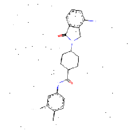 COc1cc(NC(=O)C2CCC(N3Cc4c(N)cccc4C3=O)CC2)ccc1C